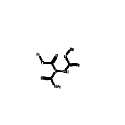 CSC(=S)N(NC(=O)OC(C)C)C(=O)OC(C)C